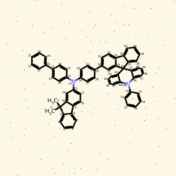 CC1(C)c2ccccc2-c2ccc(N(c3ccc(-c4ccccc4)cc3)c3ccc(-c4ccc5c(c4)C4(c6ccccc6-5)c5ccccc5N(c5ccccc5)c5ccccc54)cc3)cc21